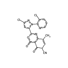 CC1=CC(C#N)C(=O)c2c1nc(-c1cc(Cl)nn1-c1ncccc1Cl)oc2=O